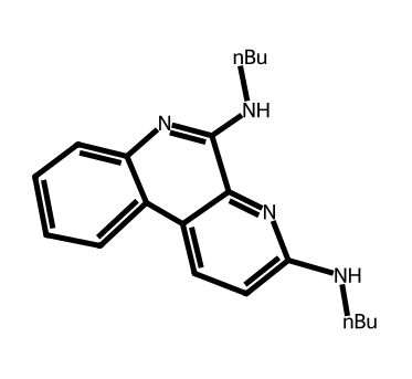 CCCCNc1ccc2c(n1)c(NCCCC)nc1ccccc12